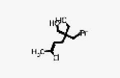 CC(Cl)=CCC(CO)(CO)CC(C)C